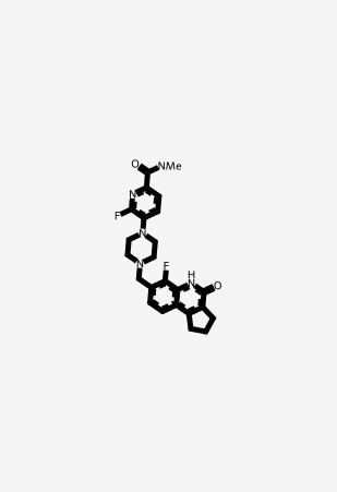 CNC(=O)c1ccc(N2CCN(Cc3ccc4c5c(c(=O)[nH]c4c3F)CCC5)CC2)c(F)n1